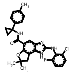 Cc1ccc(C2(NC(=O)c3cc4nc(Nc5c(F)cccc5Cl)[nH]c4c4c3OC(C)(C)C4)CC2)cc1